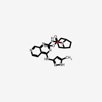 Cc1cc(Nc2nc(NC3CC4CCC(C3)N4C(=O)OC(C)(C)C)nc3cnccc23)n[nH]1